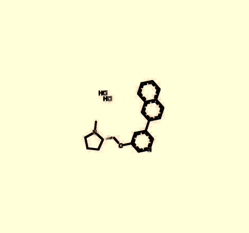 CN1CCC[C@H]1COc1cncc(-c2ccc3ccccc3c2)c1.Cl.Cl